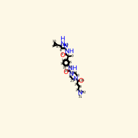 CC(C(=O)Nc1cc(C2CC2)[nH]n1)c1cccc(NC(=O)N2CCN(C(=O)C=CCN(C)C)CC2)c1